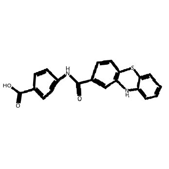 O=C(O)c1ccc(NC(=O)c2ccc3c(c2)Nc2ccccc2S3)cc1